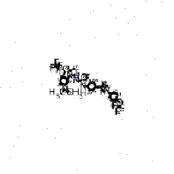 CN(C)c1ccc(OCC(F)(F)F)c(N2C(=O)CS/C2=N\C(=O)Nc2ccc(-c3ncn(-c4ccc(OC(F)(F)F)cc4)n3)cc2F)c1